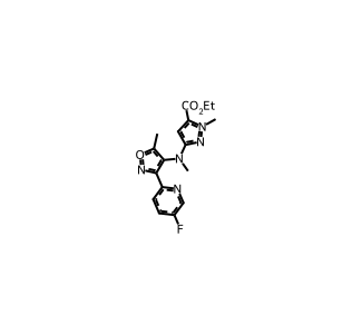 CCOC(=O)c1cc(N(C)c2c(-c3ccc(F)cn3)noc2C)nn1C